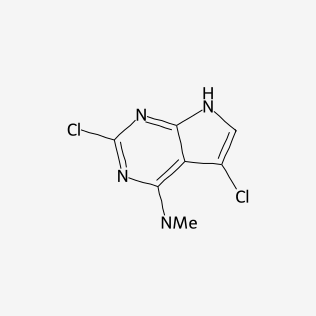 CNc1nc(Cl)nc2[nH]cc(Cl)c12